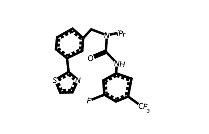 CC(C)N(Cc1cccc(-c2nccs2)c1)C(=O)Nc1cc(F)cc(C(F)(F)F)c1